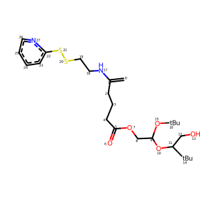 C=C(CCCC(=O)OCC(OC(CO)C(C)(C)C)OC(C)(C)C)NCCSSc1ccccn1